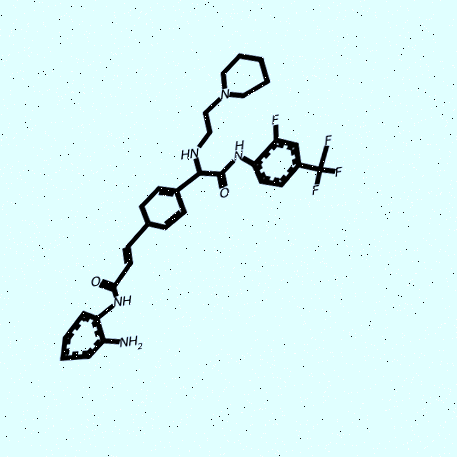 Nc1ccccc1NC(=O)/C=C/C1C=CC(C(NCCN2CCCCC2)C(=O)Nc2ccc(C(F)(F)F)cc2F)=CC1